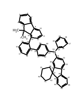 CC1(C)c2ccccc2-c2cccc(-c3ccccc3-c3ccc(N(c4ccccc4)c4ccc5c(c4)C4(CCCCC4)c4ccccc4-5)cc3)c21